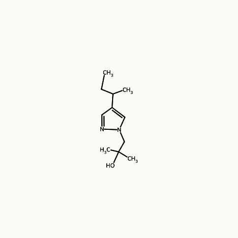 CCC(C)c1cnn(CC(C)(C)O)c1